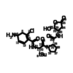 CC(C)(C)[C@H](NC(=O)C1=C(Cl)CC(N)C=C1)C(=O)N1CCC[C@H]1C(=O)N[C@H]1CC(=O)O[C@H]1O